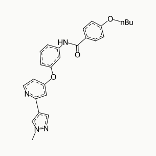 CCCCOc1ccc(C(=O)Nc2cccc(Oc3ccnc(-c4cnn(C)c4)c3)c2)cc1